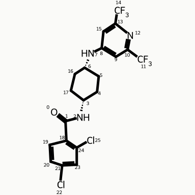 O=C(N[C@H]1CC[C@@H](Nc2cc(C(F)(F)F)nc(C(F)(F)F)c2)CC1)c1ccc(Cl)cc1Cl